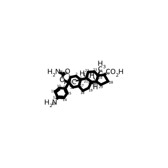 C[C@]12CCC(OC(N)=O)(c3ccc(N)cc3)CC1CC[C@@H]1[C@@H]2CC[C@]2(C)C(C(=O)O)CC[C@@H]12